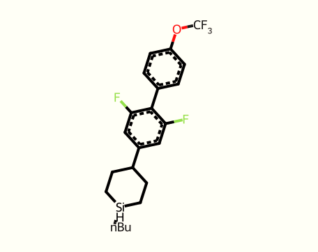 CCCC[SiH]1CCC(c2cc(F)c(-c3ccc(OC(F)(F)F)cc3)c(F)c2)CC1